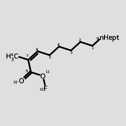 CCCCCCCCCCCCC=C(C)C(=O)OF